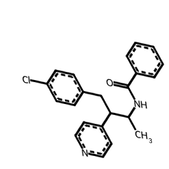 CC(NC(=O)c1ccccc1)C(Cc1ccc(Cl)cc1)c1ccncc1